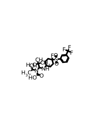 CC(C)N(C(=O)O)C(NC1CCC(F)(S(=O)(=O)c2cccc(C(F)(F)F)c2)CC1)C(C)(C)C